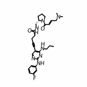 CCCNc1nc(Nc2cccc(F)c2)ncc1C#CCCC(=O)NC[C@@H]1CCCN1C(=O)/C=C/CN(C)C